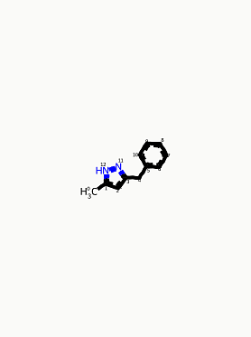 Cc1[c]c(Cc2ccccc2)n[nH]1